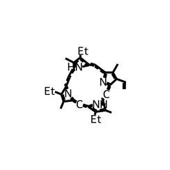 C=CC1=C(C)c2cc3[nH]c(cc4nc(cc5[nH]c(cc1n2)c(C)c5CC)C(C)=C4CC)c(C)c3CC